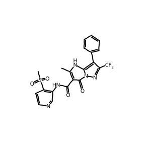 Cc1[nH]c2c(-c3ccccc3)c(C(F)(F)F)nn2c(=O)c1C(=O)Nc1cnccc1S(C)(=O)=O